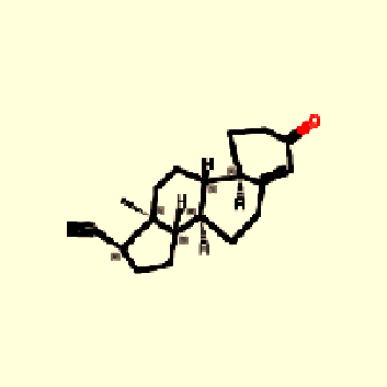 C#C[C@@H]1CC[C@H]2[C@@H]3CCC4=CC(=O)CC[C@@H]4[C@H]3CC[C@]12C